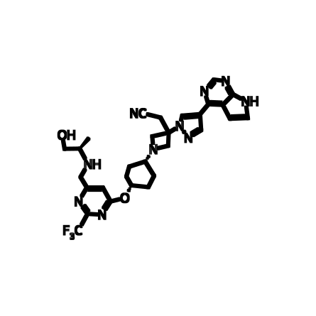 C[C@H](CO)NCc1cc(O[C@H]2CC[C@@H](N3CC(CC#N)(n4cc(-c5ncnc6[nH]ccc56)cn4)C3)CC2)nc(C(F)(F)F)n1